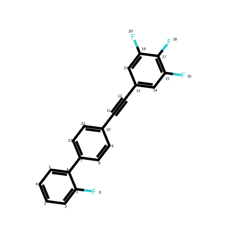 Fc1ccccc1-c1ccc(C#Cc2cc(F)c(F)c(F)c2)cc1